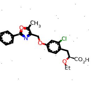 CCO[C@@H](Cc1ccc(OCc2nc(-c3ccccc3)oc2C)cc1Cl)C(=O)O